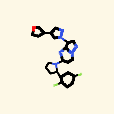 Fc1ccc(F)c([C@H]2CCCN2c2ccn3ncc(-n4cc(-c5ccoc5)cn4)c3n2)c1